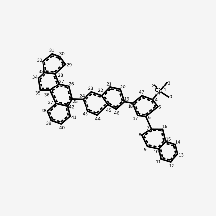 C[Si](C)(C)c1cc(-c2ccc3ccccc3c2)cc(-c2ccc3cc(-c4cc5c6ccccc6ccc5c5ccccc45)ccc3c2)c1